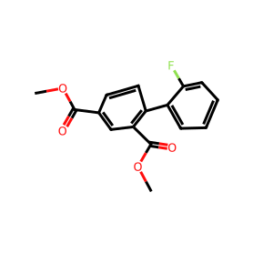 COC(=O)c1ccc(-c2ccccc2F)c(C(=O)OC)c1